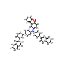 c1cc(-c2ccc(N(c3ccc(-c4ccc5ccccc5c4)cc3)c3ccc4oc5ccccc5c4c3)cc2)cc(-c2ccc3ccccc3c2)c1